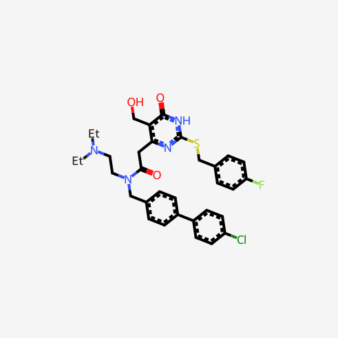 CCN(CC)CCN(Cc1ccc(-c2ccc(Cl)cc2)cc1)C(=O)Cc1nc(SCc2ccc(F)cc2)[nH]c(=O)c1CO